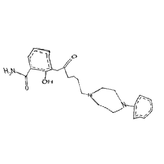 NC(=O)c1cccc(C(=O)CCCN2CCN(c3ccccc3)CC2)c1O